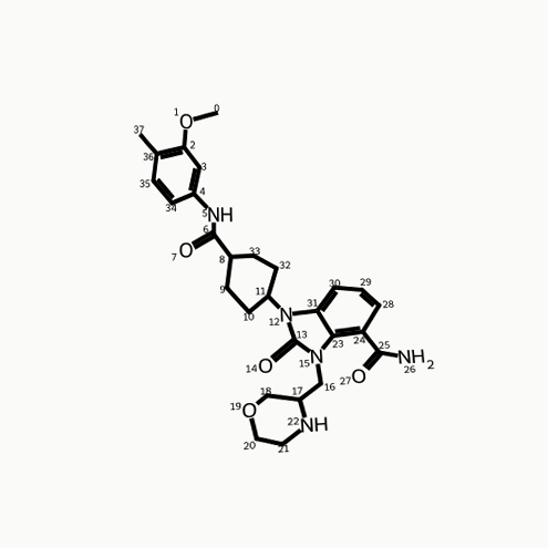 COc1cc(NC(=O)C2CCC(n3c(=O)n(CC4COCCN4)c4c(C(N)=O)cccc43)CC2)ccc1C